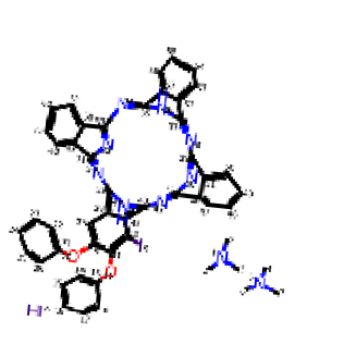 CN(C)C.CN(C)C.I.Ic1c(Oc2ccccc2)c(Oc2ccccc2)cc2c3nc4nc(nc5[nH]c(nc6nc(nc([nH]3)c12)-c1ccccc1-6)c1ccccc51)-c1ccccc1-4